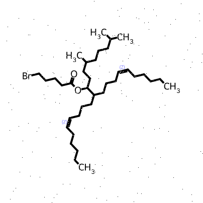 CCCCC/C=C\CCCC(CCC/C=C\CCCCC)C(CCC(C)CCCC(C)C)OC(=O)CCCCBr